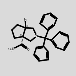 NC(=O)[C@]12CCC[C@@H]1CN(C(c1ccccc1)(c1ccccc1)c1ccccc1)C2